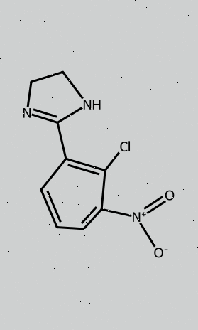 O=[N+]([O-])c1cccc(C2=NCCN2)c1Cl